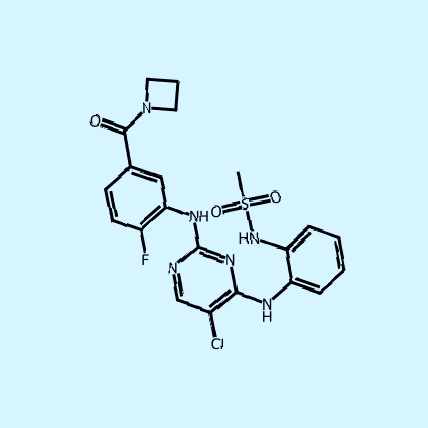 CS(=O)(=O)Nc1ccccc1Nc1nc(Nc2cc(C(=O)N3CCC3)ccc2F)ncc1Cl